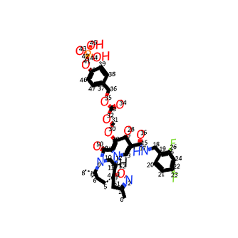 CC1=NO[C@@]2(CC[C@H](C)N3C[C@H]2n2cc(C(=O)NCc4ccc(F)cc4F)c(=O)c(OCOC(=O)OCc4ccc(OP(=O)(O)O)cc4)c2C3=O)C1